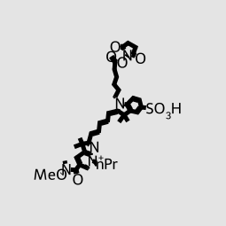 CCC[n+]1cc(C(=O)N(C)OC)cc2c1N=C(/C=C/C=C/C=C1/N(CCCCCC(=O)ON3C(=O)CCC3=O)c3ccc(S(=O)(=O)O)cc3C1(C)C)C2(C)C